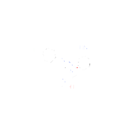 CC1=C2NOC(Nc3cc(C)c(F)c(C)c3)(N=C1)N2c1ccc2c(c1)NCO2.O=S(=O)(O)O